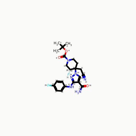 CC(C)(C)OC(=O)N1CCC(CC#N)(n2cc(C(N)=O)c(Nc3ccc(F)cc3)n2)[C@H](F)C1